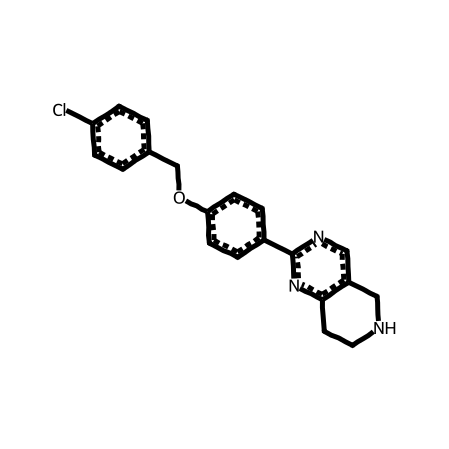 Clc1ccc(COc2ccc(-c3ncc4c(n3)CCNC4)cc2)cc1